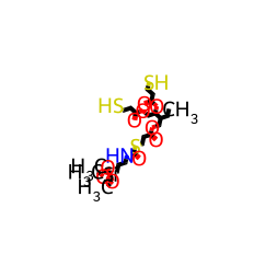 CCC(COC(=O)CCSC(=O)NCCC[Si](OC)(OC)OC)C(COC(=O)CCS)OC(=O)CCS